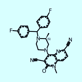 C[C@H]1CN(c2c(C#N)c(=O)n(C)c3ccc(C#N)nc23)CCN1C(c1ccc(F)cc1)c1ccc(F)cc1